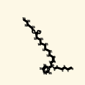 CCCCCC[C@@H](C/C=C\CCCCCCCC(=O)OCCCC)n1ccnc1